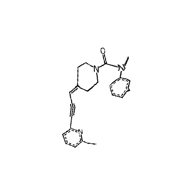 Cc1cccc(C#CC=C2CCN(C(=O)N(C)c3ccccc3)CC2)n1